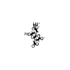 O=C([O-])CN(CCN(CC(=O)[O-])CC(=O)O)CC(=O)[O-].[Li+].[Li+].[Li+]